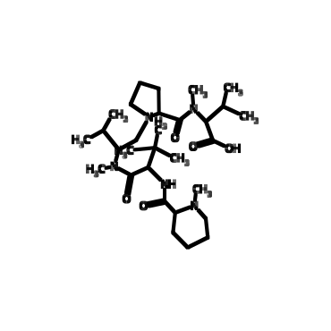 CC(C)C(CN1CCCC1C(=O)N(C)C(C(=O)O)C(C)C)N(C)C(=O)C(NC(=O)C1CCCCN1C)C(C)(C)C